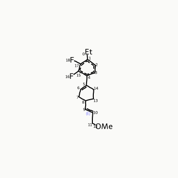 CCc1ccc(C2=CCC(/C=C/COC)CC2)c(F)c1F